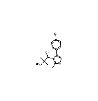 C=CC(C)(C)C(O)c1c(C)noc1-c1ccc(Br)cc1